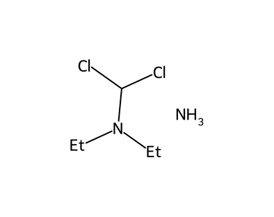 CCN(CC)C(Cl)Cl.N